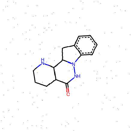 O=C1NN2c3ccccc3CC2C2NCCCC12